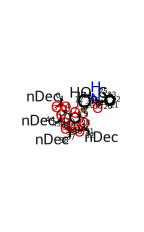 CCCCCCCCCCCC(=O)OC[C@H]1O[C@@H](SC2CCCCC(NC(=O)c3ccccc3C(=O)O)C2)[C@H](OC(=O)CCCCCCCCCCC)[C@@H](OC(=O)CCCCCCCCCCC)[C@H]1OC(=O)CCCCCCCCCCC